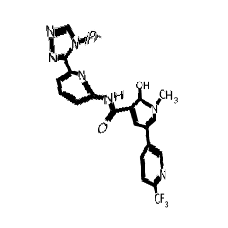 CC(C)n1cnnc1-c1cccc(NC(=O)C2=CC(c3ccc(C(F)(F)F)nc3)=CN(C)C2O)n1